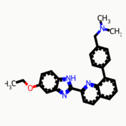 CCOc1ccc2[nH]c(-c3ccc4cccc(-c5ccc(CN(C)C)cc5)c4n3)nc2c1